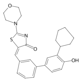 O=C1N=C(N2CCOCC2)S/C1=C/c1cccc(-c2ccc(O)c(C3CCCCC3)c2)c1